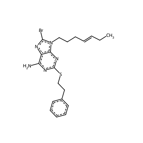 CC/C=C/CCCn1c(Br)nc2c(N)nc(SCCc3ccccc3)nc21